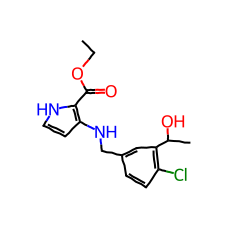 CCOC(=O)c1[nH]ccc1NCc1ccc(Cl)c(C(C)O)c1